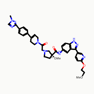 COCCOc1ccc(-c2n[nH]c3ccc(NC(=O)[C@]4(OC)CCN(CC(=O)N5CC=C(c6ccc(-c7ncn(C)n7)cc6)CC5)C4)cc23)cn1